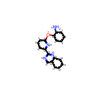 Nc1ccccc1Oc1cccc(-c2ncc3ccccc3n2)n1